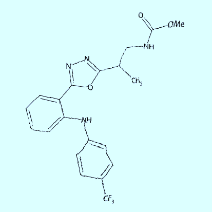 COC(=O)NCC(C)c1nnc(-c2ccccc2Nc2ccc(C(F)(F)F)cc2)o1